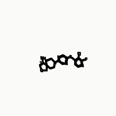 N[C@@H]1COCC12CCN(c1cnc(Sc3ccnc(F)c3Cl)cn1)CC2